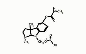 CNC(=O)Oc1ccc2c(c1)C1(C)CCN(C)C1N2C.O=S(O)O